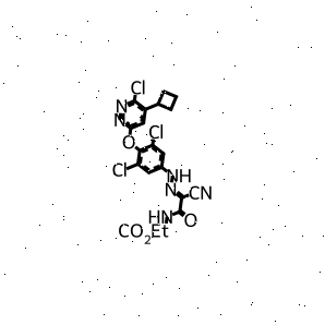 CCOC(=O)NC(=O)/C(C#N)=N/Nc1cc(Cl)c(Oc2cc(C3CCC3)c(Cl)nn2)c(Cl)c1